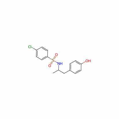 CC(Cc1ccc(O)cc1)NS(=O)(=O)c1ccc(Cl)cc1